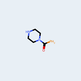 O=C(P)N1CCNCC1